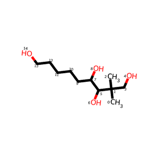 CC(C)(CO)C(O)C(O)CCCCCO